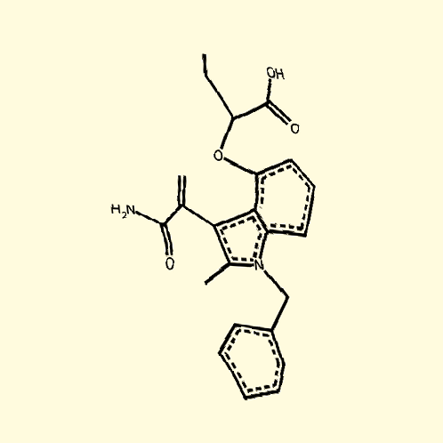 C=C(C(N)=O)c1c(C)n(Cc2ccccc2)c2cccc(OC(CC)C(=O)O)c12